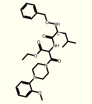 CCOC(=O)C(NC(=O)[C@H](CC(C)C)NOCc1ccccc1)C(=O)N1CCN(c2ccccc2OC)CC1